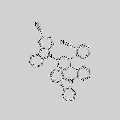 N#Cc1ccc2c(c1)c1ccccc1n2-c1ccc(-c2ccccc2-n2c3ccccc3c3ccccc32)c(-c2ccccc2C#N)c1